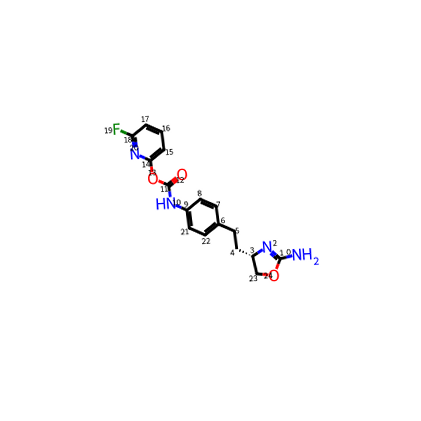 NC1=N[C@@H](CCc2ccc(NC(=O)Oc3cccc(F)n3)cc2)CO1